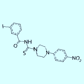 O=C(NC(=S)N1CCN(c2ccc([N+](=O)[O-])cc2)CC1)c1cccc(I)c1